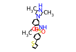 CCOc1ccc(N2C[C@@H](C)N[C@@H](C)C2)cc1NS(=O)(=O)c1ccc(-c2cccs2)cc1